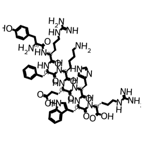 N=C(N)NCCC[C@H](NC(=O)[C@@H](N)Cc1ccc(O)cc1)C(=O)N[C@@H](Cc1ccccc1)C(=O)N[C@@H](CCCCN)C(=O)N[C@@H](CCC(=O)O)C(=O)N[C@@H](Cc1c[nH]cn1)C(=O)N[C@@H](Cc1c[nH]c2ccccc12)C(=O)N[C@H](CCCNC(=N)N)C(=O)O